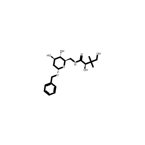 CC(C)(CO)[C@@H](O)C(=O)NC[C@H]1O[C@H](OCc2ccccc2)[CH][C@@H](O)[C@@H]1O